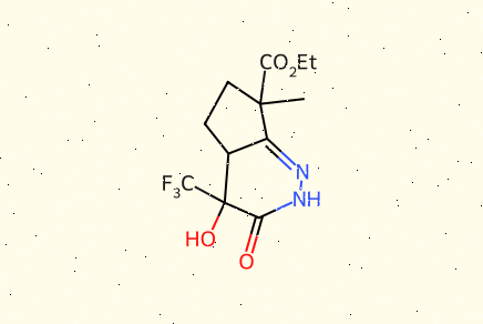 CCOC(=O)C1(C)CCC2C1=NNC(=O)C2(O)C(F)(F)F